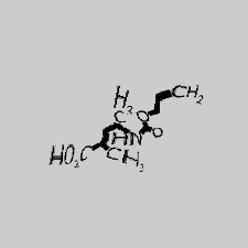 C=CCOC(=O)NC(C)C=C(C)C(=O)O